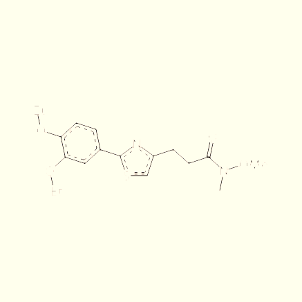 CCOc1ccc(-c2nc(CCC(=O)N(C)OC)cs2)cc1OCC